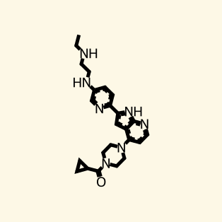 CCNCCNc1ccc(-c2cc3c(N4CCN(C(=O)C5CC5)CC4)ccnc3[nH]2)nc1